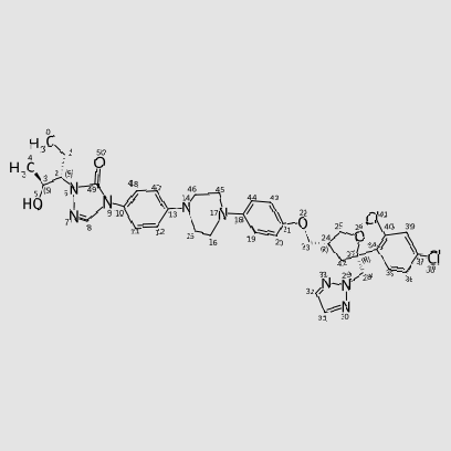 CC[C@@H]([C@H](C)O)n1ncn(-c2ccc(N3CCN(c4ccc(OC[C@@H]5CO[C@@](Cn6nccn6)(c6ccc(Cl)cc6Cl)C5)cc4)CC3)cc2)c1=O